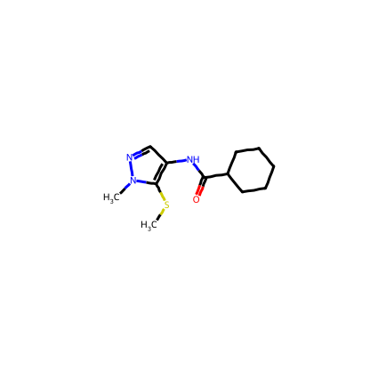 CSc1c(NC(=O)C2CCCCC2)cnn1C